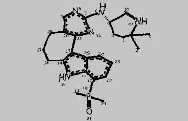 CC1(C)CC[C@H](Nc2ncc3c(n2)-c2c([nH]c4c(P(C)(C)=O)cccc24)CCC3)CN1